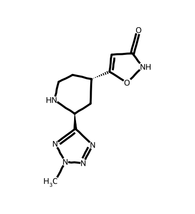 Cn1nnc([C@@H]2C[C@@H](c3cc(=O)[nH]o3)CCN2)n1